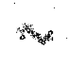 CN(C)CC[C@H](CSc1ccccc1)Nc1ncc(S(=O)(=O)NC(=O)c2csc(N3CCc4cccc(C(=O)Nc5cn6ccccc6n5)c4C3)n2)cc1[N+](=O)[O-]